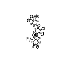 COC(=O)c1ccc(Oc2ccc([C@@H](C)[C@@](O)(c3ccc(=O)n(C)c3)C(F)(F)F)c(Cl)c2Cl)cc1